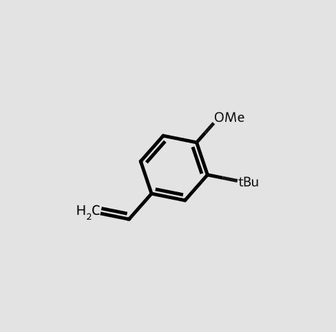 C=Cc1ccc(OC)c(C(C)(C)C)c1